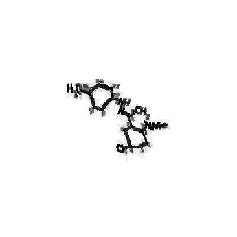 CNc1ccc(Cl)cc1/C(C)=N/Nc1ccc(C)cc1